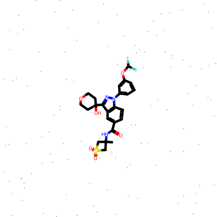 CC1(NC(=O)c2ccc3c(c2)c(C2(O)CCOCC2)nn3-c2cccc(OC(F)F)c2)CS(=O)(=O)C1